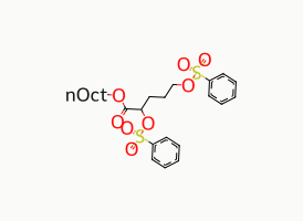 CCCCCCCCOC(=O)C(CCCOS(=O)(=O)c1ccccc1)OS(=O)(=O)c1ccccc1